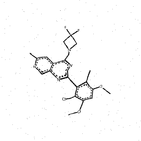 COc1cc(OC)c(Cl)c(-c2nc(N3CC(F)(F)C3)c3cc(C)ncc3n2)c1C